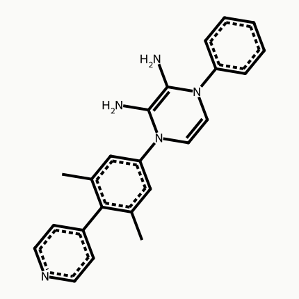 Cc1cc(N2C=CN(c3ccccc3)C(N)=C2N)cc(C)c1-c1ccncc1